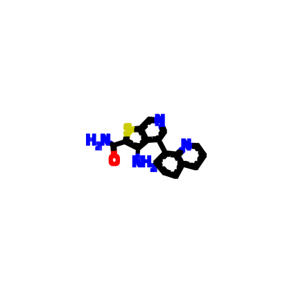 NC(=O)c1sc2cncc(-c3cccc4cccnc34)c2c1N